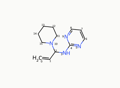 C=CC(Nc1ncccn1)N1CCCCC1